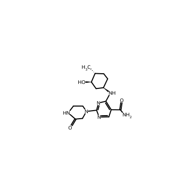 C[C@@H]1CC[C@@H](Nc2nc(N3CCNC(=O)C3)ncc2C(N)=O)C[C@H]1O